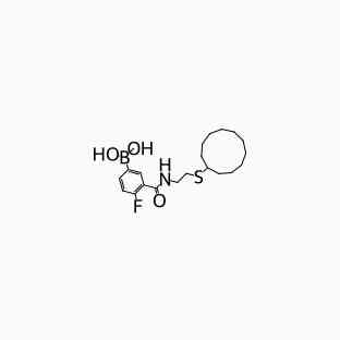 O=C(NCCSC1CCCCCCCCCC1)c1cc(B(O)O)ccc1F